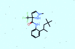 CC(CC(C)(C)C)c1ccccc1NC(=O)C1(C(F)(F)F)C=CN(C)N1